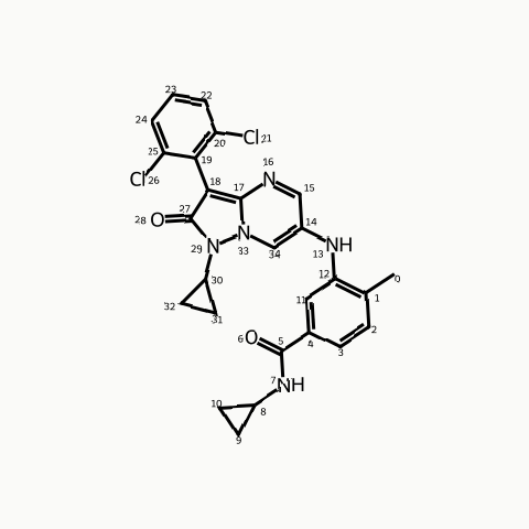 Cc1ccc(C(=O)NC2CC2)cc1Nc1cnc2c(-c3c(Cl)cccc3Cl)c(=O)n(C3CC3)n2c1